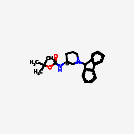 CC(C)(C)OC(=O)N[C@H]1CCCN(C2c3ccccc3-c3ccccc32)C1